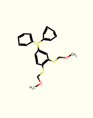 COCSc1ccc([SH](c2ccccc2)c2ccccc2)cc1SCOC